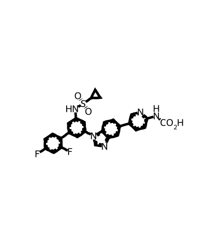 O=C(O)Nc1ccc(-c2ccc3c(c2)ncn3-c2cc(NS(=O)(=O)C3CC3)cc(-c3ccc(F)cc3F)c2)cn1